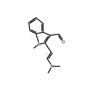 CN(C)/C=C/c1c(C=O)c2ccccc2n1C